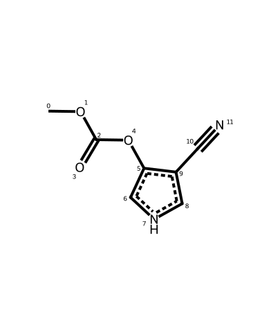 COC(=O)Oc1c[nH]cc1C#N